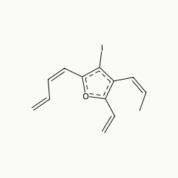 C=C/C=C\c1oc(C=C)c(/C=C\C)c1I